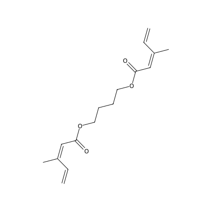 C=C/C(C)=C\C(=O)OCCCCOC(=O)/C=C(/C)C=C